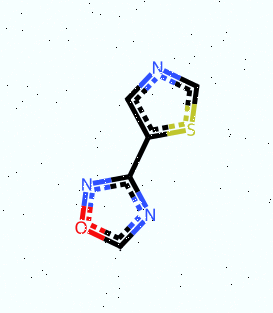 [c]1nc(-c2cncs2)no1